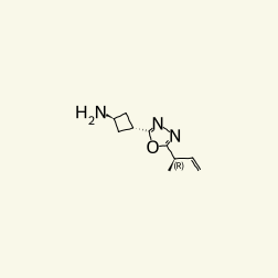 C=C[C@@H](C)c1nnc([C@H]2C[C@H](N)C2)o1